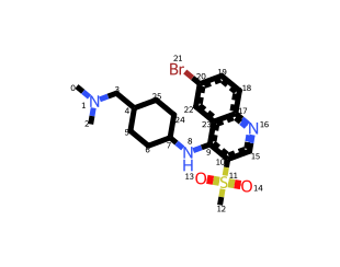 CN(C)CC1CCC(Nc2c(S(C)(=O)=O)cnc3ccc(Br)cc23)CC1